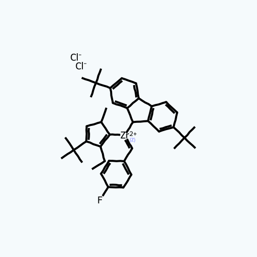 CCC1=[C](/[Zr+2](=[CH]\c2ccc(F)cc2)[CH]2c3cc(C(C)(C)C)ccc3-c3ccc(C(C)(C)C)cc32)C(C)C=C1C(C)(C)C.[Cl-].[Cl-]